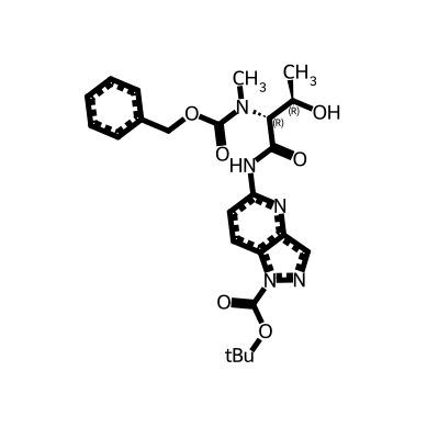 C[C@@H](O)[C@H](C(=O)Nc1ccc2c(cnn2C(=O)OC(C)(C)C)n1)N(C)C(=O)OCc1ccccc1